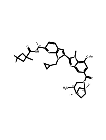 COc1cc(C(=O)N2C[C@H](N)[C@@H]3CC[C@H]2C3)cc2nc(-c3cc4ccc([C@@H](C)NC(=O)C5(C)CC(F)(F)C5)nc4n3CC3CC3)n(C)c12